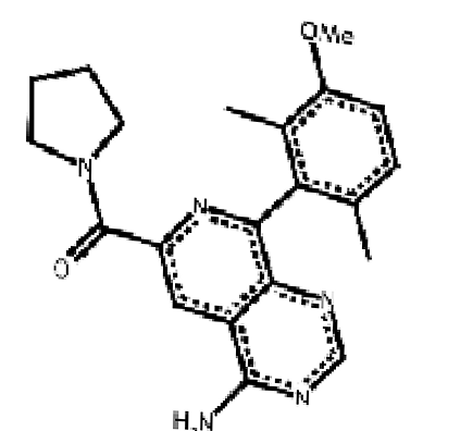 COc1ccc(C)c(-c2nc(C(=O)N3CCCC3)cc3c(N)ncnc23)c1C